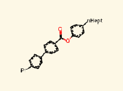 CCCCCCCc1ccc(OC(=O)c2ccc(-c3ccc(C(C)C)cc3)cc2)cc1